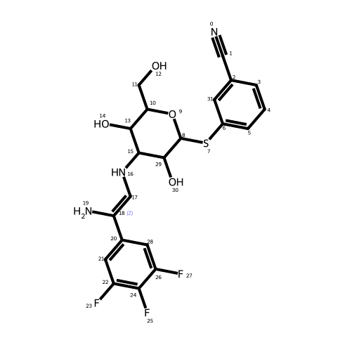 N#Cc1cccc(SC2OC(CO)C(O)C(N/C=C(\N)c3cc(F)c(F)c(F)c3)C2O)c1